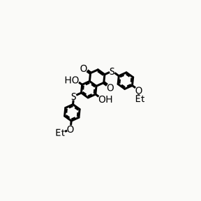 CCOc1ccc(SC2=CC(=O)c3c(O)c(Sc4ccc(OCC)cc4)cc(O)c3C2=O)cc1